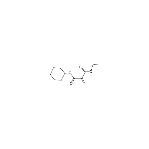 C=C(C(=O)OCC)C(=O)OC1CCCCC1